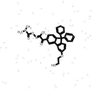 CN(C)C(=O)O/N=C(/C(=O)c1ccc2c(c1)-c1cc(OCCO)ccc1C2(C1=CCCC=C1)c1ccccc1)C(F)(F)F